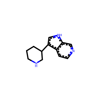 c1cc2c(C3CCCNC3)c[nH]c2cn1